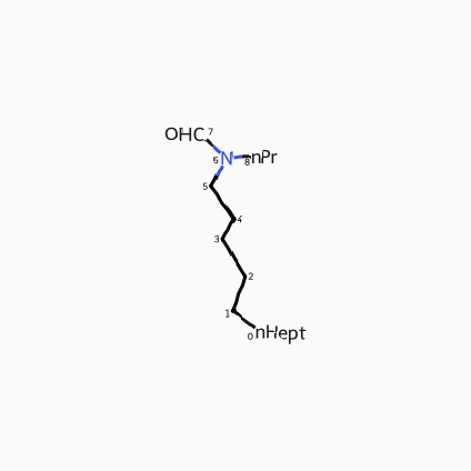 CCCCCCCCCCCCN(C=O)CCC